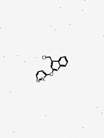 ClCc1cc(Oc2cccnn2)cc2ccccc12